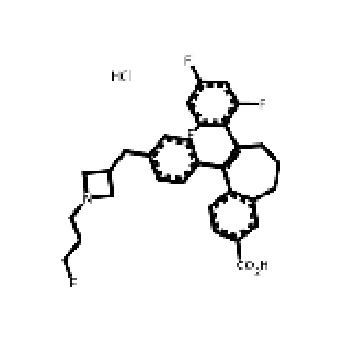 Cl.O=C(O)c1ccc2c(c1)CCCC(c1c(F)cc(F)cc1F)=C2c1ccc(CC2CN(CCCF)C2)cc1